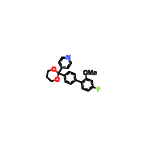 COc1cc(F)ccc1-c1ccc(C2(c3ccncc3)OCCCO2)cc1